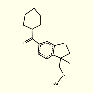 CCCCSCC1(C)COc2cc(C(=O)N3CCCCC3)ccc21